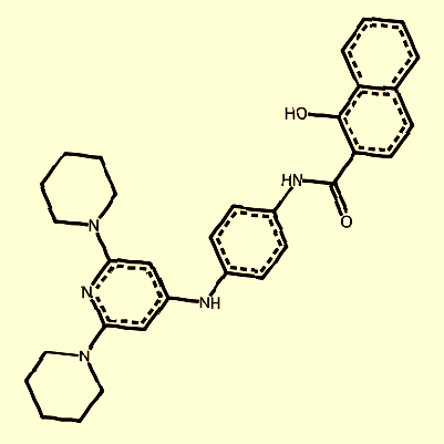 O=C(Nc1ccc(Nc2cc(N3CCCCC3)nc(N3CCCCC3)c2)cc1)c1ccc2ccccc2c1O